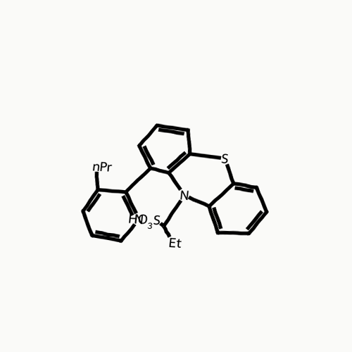 CCCc1cccnc1-c1cccc2c1N(C(CC)S(=O)(=O)O)c1ccccc1S2